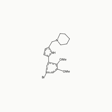 COc1cc(Br)cc(-c2ccc(CN3CCCCC3)[nH]2)c1OC